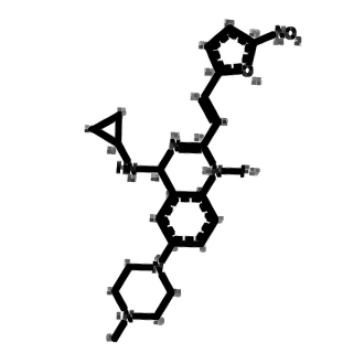 CN1CCN(c2ccc3c(c2)C(NC2CC2)N=C(/C=C/c2ccc([N+](=O)[O-])o2)N3F)CC1